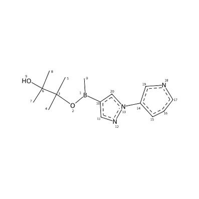 CB(OC(C)(C)C(C)(C)O)c1cnn(-c2cccnc2)c1